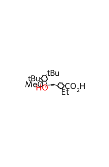 CCc1cc(C#CC(O)c2cc(C(C)(C)C)cc(C(C)(C)C)c2OC)ccc1C(=O)O